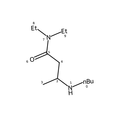 CCCCNC(C)CC(=O)N(CC)CC